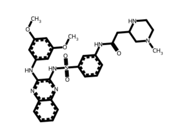 COc1cc(Nc2nc3ccccc3nc2NS(=O)(=O)c2cccc(NC(=O)CC3CN(C)CCN3)c2)cc(OC)c1